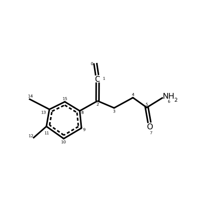 C=C=C(CCC(N)=O)c1ccc(C)c(C)c1